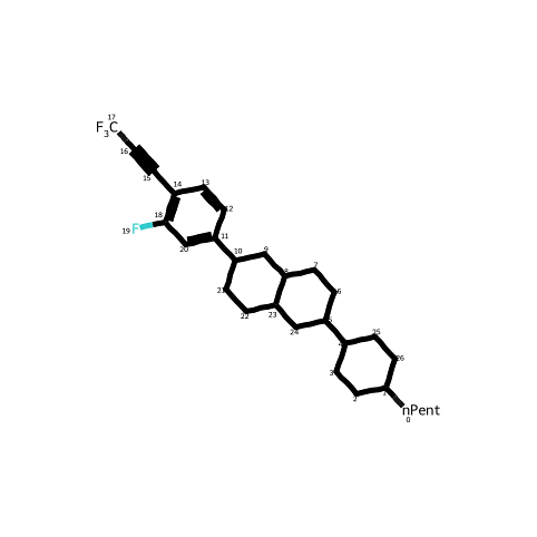 CCCCCC1CCC(C2CCC3CC(c4ccc(C#CC(F)(F)F)c(F)c4)CCC3C2)CC1